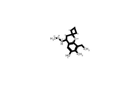 CCc1c(C)c(O)cc2c1OC1(CCC1)CC2NOC